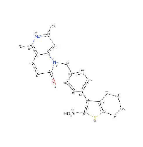 Cc1cc2c(ccc(=O)n2Cc2ccc(-c3c(S(=O)(=O)O)sc4c3CCCC4)cc2)c(C)n1